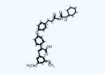 COc1cc(/C=C(\C(=O)O)c2ccc(Oc3ccc(CCC(=O)NC(=O)NC4CCCCC4)cc3)cc2)cc(OC)c1